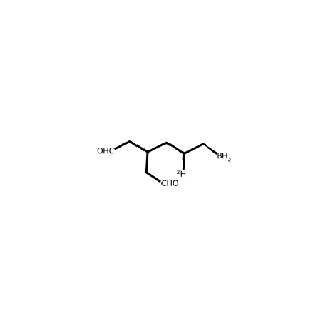 [2H]C(CB)CC(CC=O)CC=O